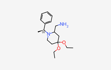 CCOC1(OCC)CCN([C@@H](C)c2ccccc2)C(CN)C1